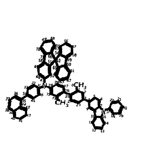 Cc1cc(-c2ccc3c(c2)c2ccccc2n3-c2ccccc2)ccc1-c1ccc(N(c2ccc(-c3cccc4ccccc34)cc2)c2ccc3c(c2)C2(c4ccccc4-c4ccccc42)c2ccccc2-3)cc1C